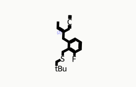 C=C=C/C(=C\C)Cc1cccc(F)c1CSCC(C)(C)C